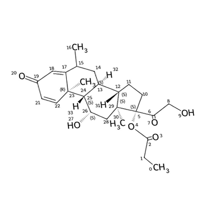 CCC(=O)O[C@@]1(C(=O)CO)CC[C@H]2[C@@H]3CC(C)C4=CC(=O)C=C[C@]4(C)[C@H]3[C@@H](O)C[C@@]21C